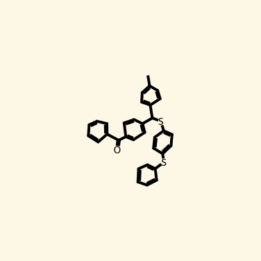 Cc1ccc(C(Sc2ccc(Sc3ccccc3)cc2)c2ccc(C(=O)c3ccccc3)cc2)cc1